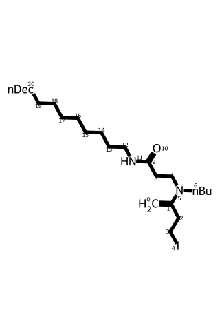 C=C(CCI)N(CCCC)CCC(=O)NCCCCCCCCCCCCCCCCCC